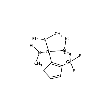 CC[N](C)[Zr]([C]1=[C]([Ge]([F])([F])[F])C=CC1)([N](C)CC)[N](C)CC